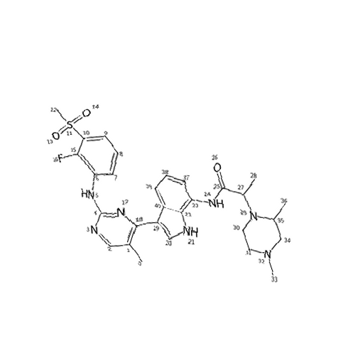 Cc1cnc(Nc2cccc(S(C)(=O)=O)c2F)nc1-c1c[nH]c2c(NC(=O)C(C)N3CCN(C)CC3C)cccc12